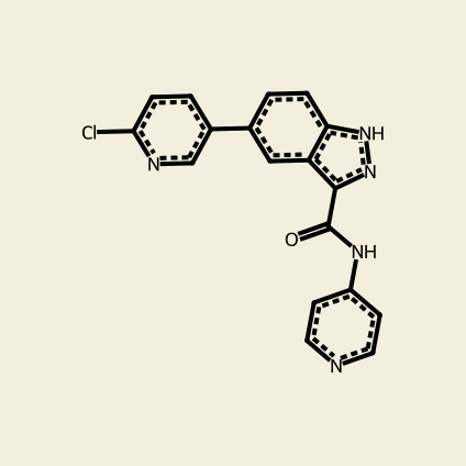 O=C(Nc1ccncc1)c1n[nH]c2ccc(-c3ccc(Cl)nc3)cc12